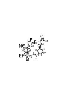 CCN1C(=O)C(CCNc2cccc(OCCN(C)C)c2)SC1CC(C#N)C(=O)NCC(F)F